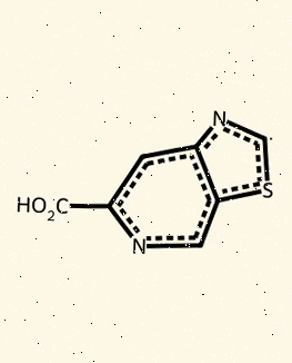 O=C(O)c1cc2n[c]sc2cn1